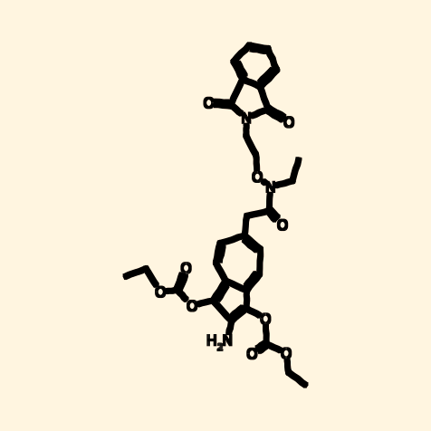 CCOC(=O)Oc1c2ccc(CC(=O)N(CC)OCCN3C(=O)c4ccccc4C3=O)ccc-2c(OC(=O)OCC)c1N